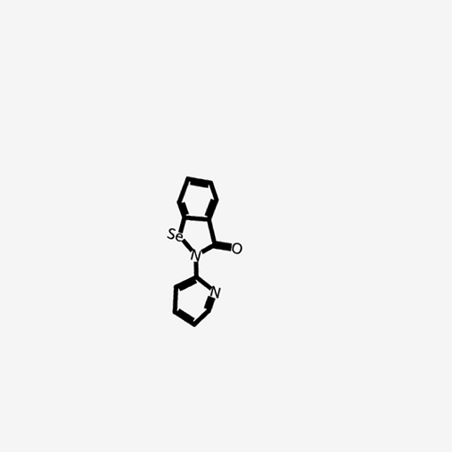 O=c1c2ccccc2[se]n1-c1ccccn1